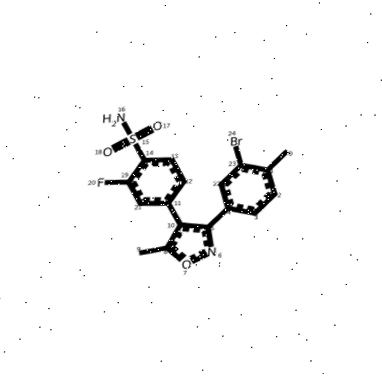 Cc1ccc(-c2noc(C)c2-c2ccc(S(N)(=O)=O)c(F)c2)cc1Br